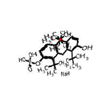 CC(C)(C)c1ccc(O)c(C(C)(C)C)c1Cc1c(C(C)(C)C)ccc(OP(=O)(O)O)c1C(C)(C)C.[NaH]